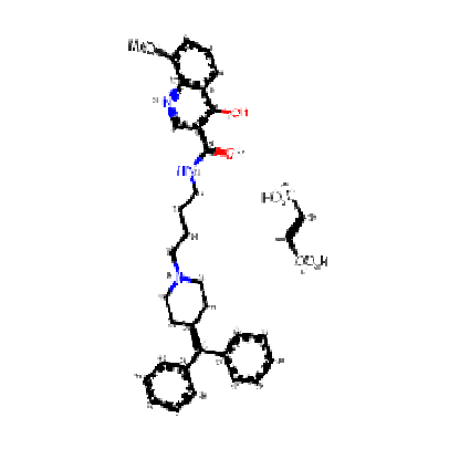 COc1cccc2c(O)c(C(=O)NCCCCN3CCC(=C(c4ccccc4)c4ccccc4)CC3)cnc12.O=C(O)/C=C/C(=O)O